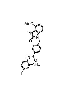 COc1cccc2c1n(C)c(=O)n2Cc1ccc(C(=O)Nc2ccc(F)cc2N)cc1